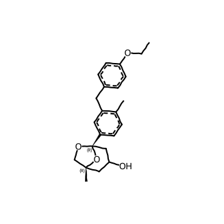 CCOc1ccc(Cc2cc([C@]34CC(O)C[C@](C)(CO3)O4)ccc2C)cc1